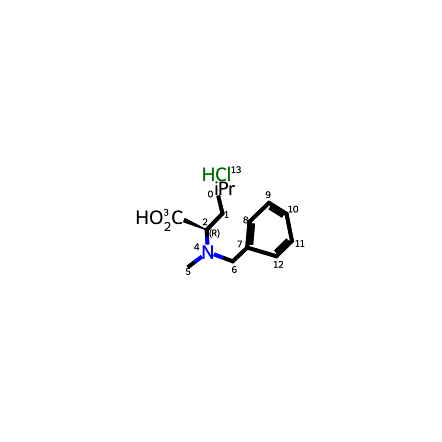 CC(C)C[C@H](C(=O)O)N(C)Cc1ccccc1.Cl